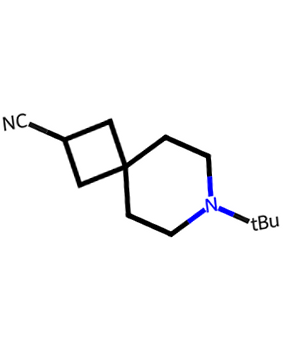 CC(C)(C)N1CCC2(CC1)CC(C#N)C2